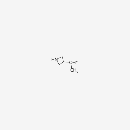 [CH2-][OH+]C1CNC1